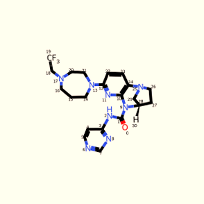 O=C(Nc1ccncn1)N1c2nc(N3CCCN(CC(F)(F)F)CC3)ccc2N2CC[C@H]1C2